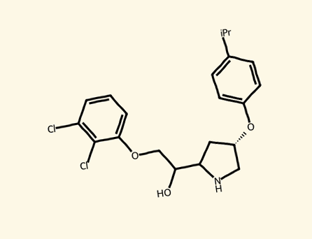 CC(C)c1ccc(O[C@@H]2CNC(C(O)COc3cccc(Cl)c3Cl)C2)cc1